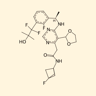 C[C@@H](Nc1ncnc(CC(=O)NC23CC(F)(C2)C3)c1C1OCCO1)c1cccc(C(F)(F)C(C)(C)O)c1F